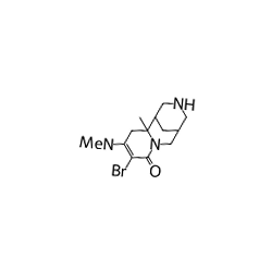 CNC1=C(Br)C(=O)N2CC3CNCC(C3)C2(C)C1